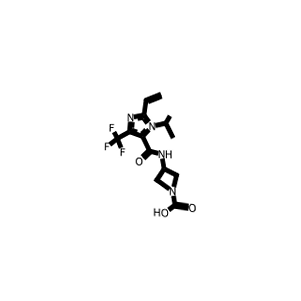 C=Cc1nc(C(F)(F)F)c(C(=O)NC2CN(C(=O)O)C2)n1C(C)C